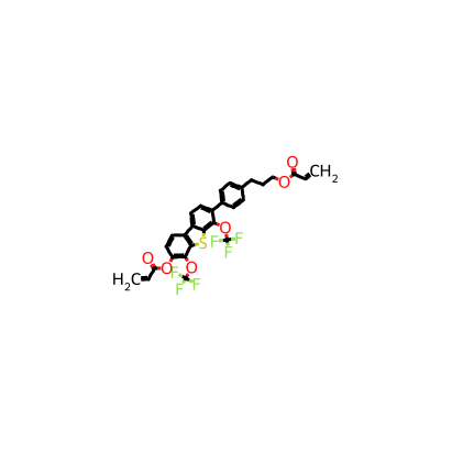 C=CC(=O)OCCCc1ccc(-c2ccc3c(sc4c(OC(F)(F)F)c(OC(=O)C=C)ccc43)c2OC(F)(F)F)cc1